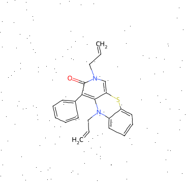 C=CCN1c2ccccc2Sc2cn(CC=C)c(=O)c(-c3ccccc3)c21